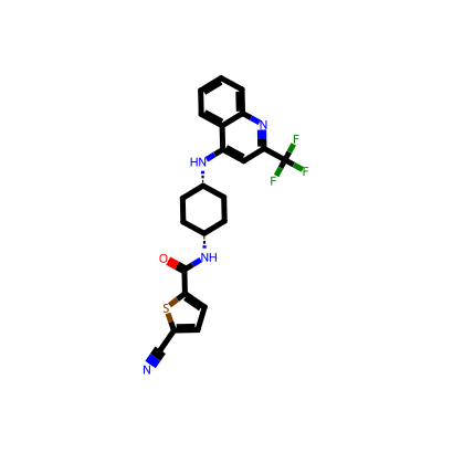 N#Cc1ccc(C(=O)N[C@H]2CC[C@@H](Nc3cc(C(F)(F)F)nc4ccccc34)CC2)s1